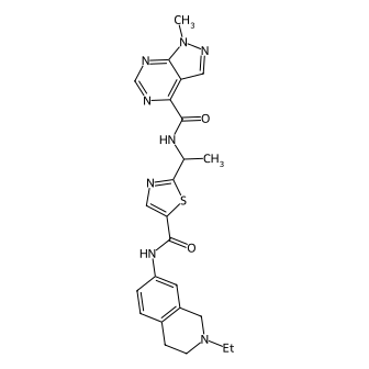 CCN1CCc2ccc(NC(=O)c3cnc(C(C)NC(=O)c4ncnc5c4cnn5C)s3)cc2C1